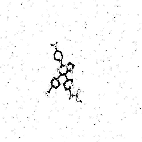 COC(=O)N(C)c1ccc(-c2c(-c3ccc(C#N)cc3)nc(N3CCC(N(C)C)CC3)n3ccnc23)cn1